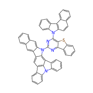 c1ccc2cc3c(cc2c1)c1cc2c4ccccc4n4c5ccccc5c(c1n3-c1nc(-n3c5ccccc5c5c6ccccc6ccc53)c3sc5ccccc5c3n1)c24